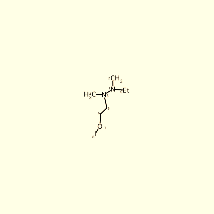 CCN(C)N(C)CCOI